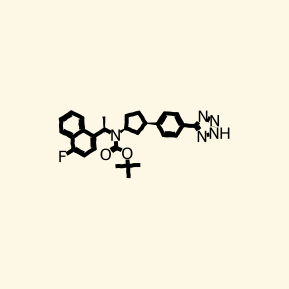 C[C@H](c1ccc(F)c2ccccc12)N(C(=O)OC(C)(C)C)[C@H]1CC[C@@H](c2ccc(-c3nn[nH]n3)cc2)C1